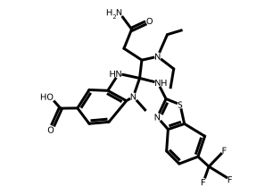 CCN(CC)C(CC(N)=O)C1(Nc2nc3ccc(C(F)(F)F)cc3s2)Nc2cc(C(=O)O)ccc2N1C